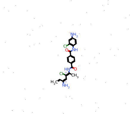 C=C/C(N)=C\C(Cl)=C(/C)NC(=O)c1ccc(C(=O)Nc2ccc(N)cc2Cl)cc1